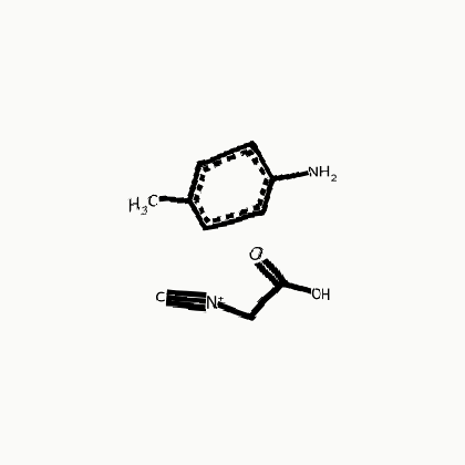 Cc1ccc(N)cc1.[C-]#[N+]CC(=O)O